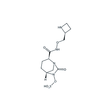 O=C(NOC[C@@H]1CCN1)[C@@H]1CC[C@@H]2CN1C(=O)N2OS(=O)(=O)O